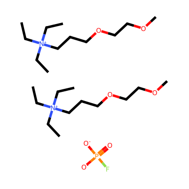 CC[N+](CC)(CC)CCCOCCOC.CC[N+](CC)(CC)CCCOCCOC.O=P([O-])([O-])F